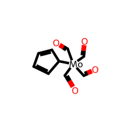 O=[CH][Mo]([CH]=O)([CH]=O)([CH]=O)[CH]1C=CC=C1